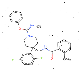 COc1ccccc1C(=O)NCC1(c2cc(F)ccc2F)CCN(/C(=N\C#N)Oc2ccccc2)CC1